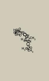 CC(c1nc2c([nH]1)CCN(C(=O)N(C)C)C2)c1nc2ccc(C(=O)NC(CP(=O)(O)O)C(=O)O)cc2n1C